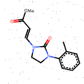 COC(=O)C=CN1CCN(c2ccccc2C)C1=O